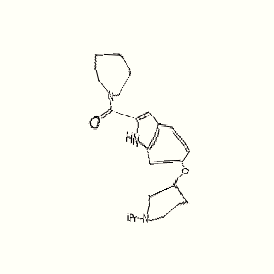 CC(C)N1CCC(Oc2ccc3cc(C(=O)N4CCCCCC4)[nH]c3c2)C1